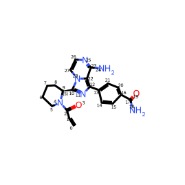 C=CC(=O)N1CCCC[C@H]1c1nc(-c2ccc(C(N)=O)cc2)c2c(N)nccn12